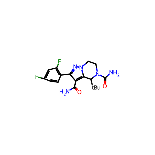 CC(C)(C)C1c2c(C(N)=O)c(-c3ccc(F)cc3F)nn2CCN1C(N)=O